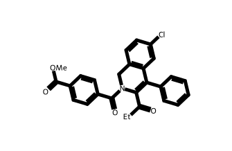 CCC(=O)C1=C(c2ccccc2)c2cc(Cl)ccc2CN1C(=O)c1ccc(C(=O)OC)cc1